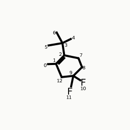 CC1=C(C(C)(C)C)CCC(F)(F)C1